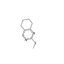 CSc1ncc2c(n1)CCCC2